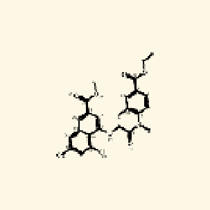 CCOC(=O)c1ccc(N(C)C(=O)COc2cc(C(=O)OC)cc3cc(Cl)cc(Cl)c23)c(C)c1